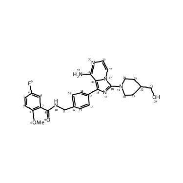 COc1ccc(F)cc1C(=O)NCc1ccc(-c2nc(N3CCC(CO)CC3)n3ccnc(N)c23)cc1